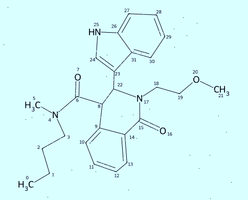 CCCCN(C)C(=O)C1c2ccccc2C(=O)N(CCOC)C1c1c[nH]c2ccccc12